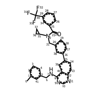 Cc1cccc(CNc2ncnc3ccc(-c4cccc(CN(C(=O)c5cccc(C(F)(F)F)c5)C5CC5)c4)cc23)c1